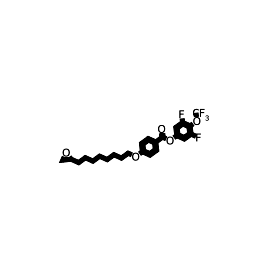 O=C(Oc1cc(F)c(OC(F)(F)F)c(F)c1)c1ccc(OCCCCCCCCC2CO2)cc1